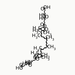 CC(C=CC=C(C)C=CC1=C(C)C(=O)C(OC(=O)CCCNC(=O)NCCCC(=O)O)CC1(C)C)=CC=CC=C(C)C=CC=C(C)C=CC1=C(C)C(=O)C(OC(=O)CCCNC(=O)NCCCC(=O)O)CC1(C)C